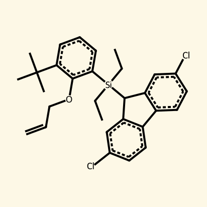 C=CCOc1c(C(C)(C)C)cccc1[Si](CC)(CC)C1c2cc(Cl)ccc2-c2ccc(Cl)cc21